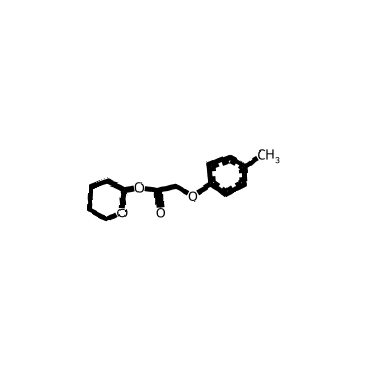 Cc1ccc(OCC(=O)OC2CCCCO2)cc1